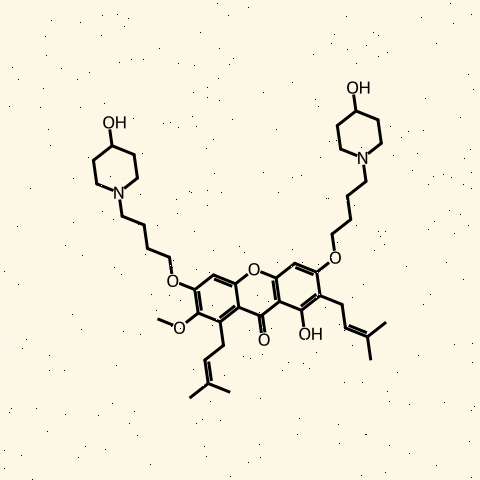 COc1c(OCCCCN2CCC(O)CC2)cc2oc3cc(OCCCCN4CCC(O)CC4)c(CC=C(C)C)c(O)c3c(=O)c2c1CC=C(C)C